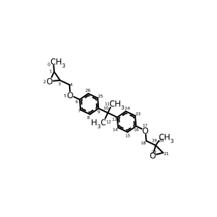 CC1OC1COc1ccc(C(C)(C)c2ccc(OCC3(C)CO3)cc2)cc1